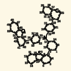 c1cc(-c2cccc3c2sc2ccccc23)cc(N(c2ccc(-c3cccc4ccccc34)cc2)c2ccc(-c3cccc4c3oc3ccccc34)cc2)c1